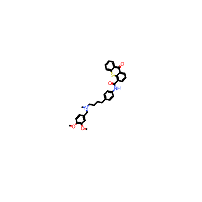 COc1ccc(CN(C)CCCCc2ccc(NC(=O)c3cccc4c(=O)c5ccccc5sc34)cc2)cc1OC